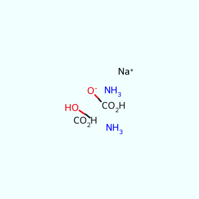 N.N.O=C(O)O.O=C([O-])O.[Na+]